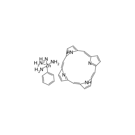 C1=Cc2cc3ccc(cc4nc(cc5ccc(cc1n2)[nH]5)C=C4)[nH]3.[NH2][Zn]([NH2])([NH2])([NH2])[c]1ccccc1